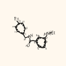 CCNc1cccc(C(=O)NCc2ccc(F)cc2)c1